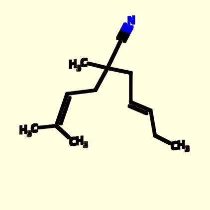 CCC=CCC(C)(C#N)CC=C(C)C